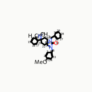 COc1ccc(CN2CC3(CCC(c4ccccc4)(N(C)C)CC3)N(Cc3ccccc3)C2=O)cc1